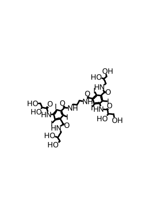 O=C(NCCCNC(=O)c1c(I)c(NC(=O)C(O)CO)c(I)c(C(=O)NCC(O)CO)c1I)c1c(I)c(NC(=O)C(O)CO)c(I)c(C(=O)NCC(O)CO)c1I